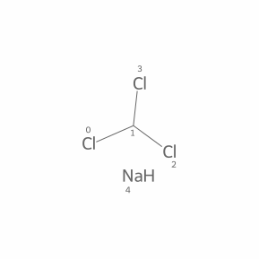 ClC(Cl)Cl.[NaH]